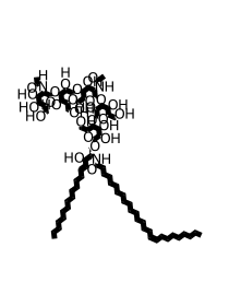 CCCCCCCC/C=C\CCCCCCCCCCCCCCCC(=O)N[C@@H](CO[C@@H]1OC(CO)[C@@H](O[C@@H]2OC(CO)[C@H](O)[C@H](O[C@@H]3OC(CO)[C@@H](O[C@@H]4OC(CO)[C@H](O)[C@H](O[C@@H]5OC(CO)[C@H](O)[C@H](O)C5NC(C)=O)C4O)[C@H](O)C3NC(C)=O)C2O)[C@H](O)C1O)[C@H](O)/C=C/CCCCCCCCCCCCC